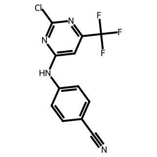 N#Cc1ccc(Nc2cc(C(F)(F)F)nc(Cl)n2)cc1